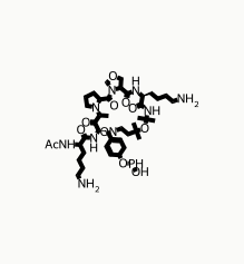 CC(=O)NC(CCCCN)C(=O)N[C@@H](CC1=CCC(OPO)C=C1)C(=O)C(C)N1CCCC1C(=O)N1COCC1C(=O)N[C@@H](CCCCN)C(=O)NC(C)(C)OC(C)(C)CCN=O